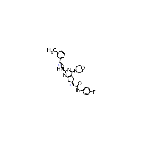 Cc1cccc(/C=N/Nc2nc3c(c(N4CCOCC4)n2)C/C(=C\C(=O)Nc2ccc(F)cc2)C3)c1